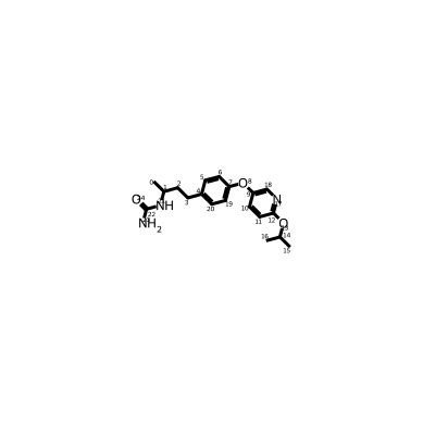 CC(CCc1ccc(Oc2ccc(OC(C)C)nc2)cc1)NC(N)=O